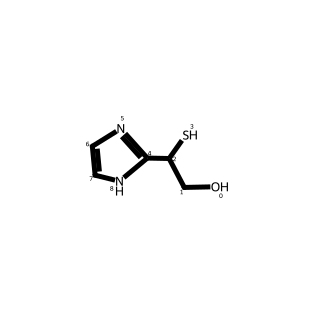 OCC(S)c1ncc[nH]1